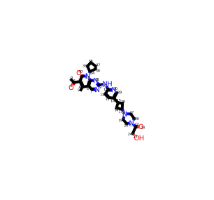 CC(=O)c1c(C)c2cnc(Nc3ccc(C4CC(N5CCN(C(=O)CO)CC5)C4)cn3)nc2n(C2CCCC2)c1=O